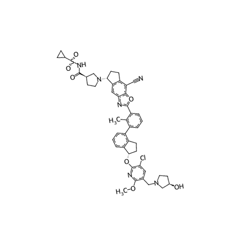 COc1nc(O[C@H]2CCc3c(-c4cccc(-c5nc6cc7c(c(C#N)c6o5)CC[C@H]7N5CC[C@@H](C(=O)NS(=O)(=O)C6CC6)C5)c4C)cccc32)c(Cl)cc1CN1CC[C@@H](O)C1